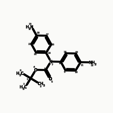 CC(C)(C)OC(=O)N(c1ccc(N)cc1)c1ccc(N)cc1